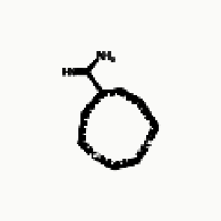 N=C(N)c1ccccccccc1